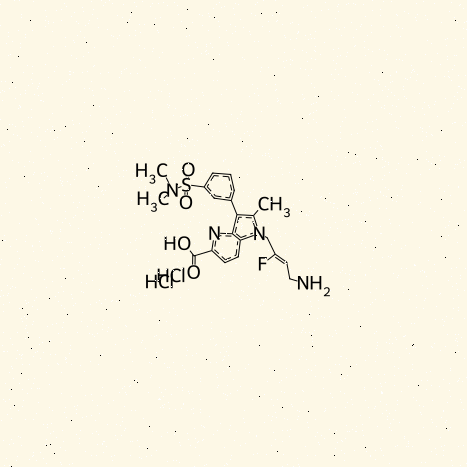 Cc1c(-c2cccc(S(=O)(=O)N(C)C)c2)c2nc(C(=O)O)ccc2n1CC(F)=CCN.Cl.Cl